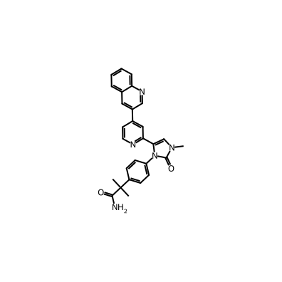 Cn1cc(-c2cc(-c3cnc4ccccc4c3)ccn2)n(-c2ccc(C(C)(C)C(N)=O)cc2)c1=O